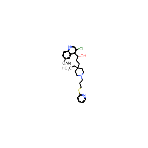 COc1ccc2ncc(Cl)c([C@H](O)CCC3(CC(=O)O)CCN(CCCSc4ccccn4)CC3)c2c1